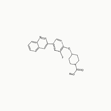 COC(=O)N1CCC(Oc2ccc(-c3cnc4ccccc4c3)cc2F)CC1